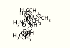 CCOc1ccc(N(C(=O)OC(C)(C)C)c2c(C)c(NC3CCC(NC(=O)OC(C)(C)C)CC3)nc3c(C(N)=O)cnn23)cc1